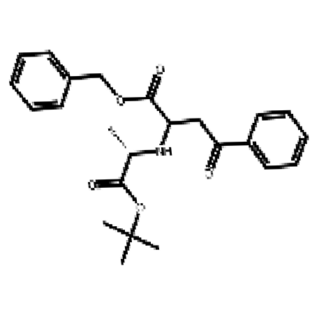 C[C@H](NC(CC(=O)c1ccccc1)C(=O)OCc1ccccc1)C(=O)OC(C)(C)C